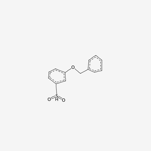 O=[SH](=O)c1cccc(OCc2ccccc2)c1